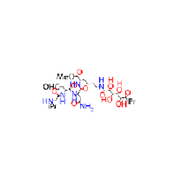 COC(=O)C(CCCCNC(=O)C(O)C(O)C(O)C(O)C(=O)C(C)C)NC(=O)C(CC(N)=O)NC(=O)[C@H](CC=O)NC(=O)CNC(C)C